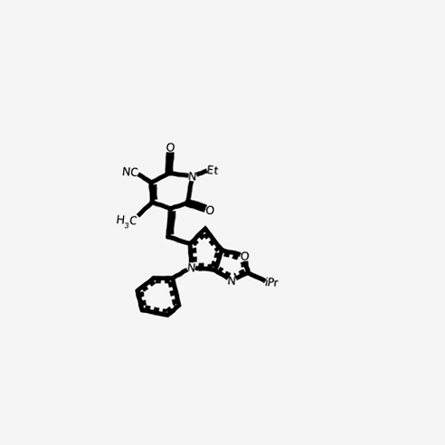 CCN1C(=O)C(C#N)=C(C)/C(=C/c2cc3oc(C(C)C)nc3n2-c2ccccc2)C1=O